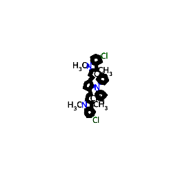 CN1/C(=C/C=C2\CCC(/C=C/C3N(C)c4ccc(Cl)cc4C3(C)C)=C2N(c2ccccc2)c2ccccc2)C(C)(C)c2cc(Cl)ccc21